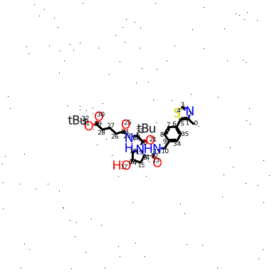 Cc1ncsc1-c1ccc(CNC(=O)[C@@H]2C[C@@H](O)CN2C(=O)[C@@H](NC(=O)CCCC(=O)OC(C)(C)C)C(C)(C)C)cc1